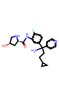 NC(CCC1CC1)(c1ccncc1)c1ccc(F)c(NC(=O)[C@H]2C[C@@H](O)CN2)c1